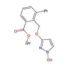 CCCOC(=O)c1cccc(C(C)C)c1COc1ccn(O)n1